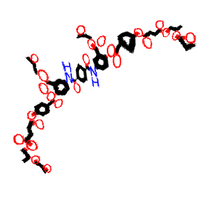 CC(COC(=O)CCC(=O)Oc1ccc(C(=O)Oc2ccc(NC(=O)[C@H]3CC[C@H](C(=O)Nc4ccc(OC(=O)c5ccc(OC(=O)CCC(=O)OCC(C)OC6CCO6)cc5)c(C(=O)OCC5CO5)c4)CC3)cc2C(=O)OCC2CO2)cc1)OCC1CO1